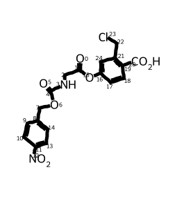 O=C(CNC(=O)OCc1ccc([N+](=O)[O-])cc1)Oc1ccc(C(=O)O)c(CCl)c1